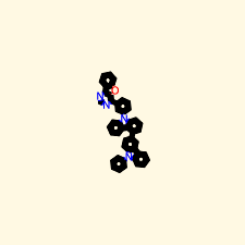 c1ccc(-n2c3ccccc3c3cc(-c4cccc5c4c4ccccc4n5-c4cccc(-c5ncnc6c5oc5ccccc56)c4)ccc32)cc1